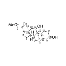 COCC(=O)[C@H]1CC[C@H]2[C@@H]3CCC4CC(O)CC[C@]4(C)[C@H]3C(O)C[C@]12C